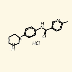 Cc1ccc(C(=O)Nc2ccc([C@@H]3CCCNC3)cc2)cn1.Cl